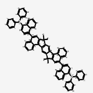 CC1(C)c2cc3c(cc2-c2c1cc(-c1ccc(N(c4ccccc4)c4ccccc4)c4ccccc14)c1ccccc21)C(C)(C)c1cc(-c2ccc(N(c4ccccc4)c4ccccc4)c4ccccc24)c2ccccc2c1-3